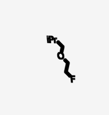 CC(C)COCCF